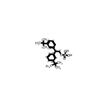 CC(C)(C)c1cccc(C(COP(=O)(O)O)c2cccc(C(C)(C)C)c2)c1